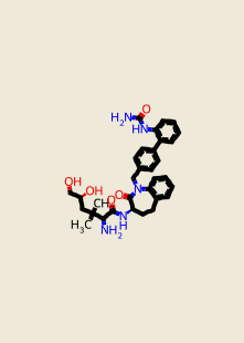 CC(C)(C[C@H](O)CO)C(N)C(=O)N[C@@H]1CCc2ccccc2N(Cc2ccc(-c3ccccc3NC(N)=O)cc2)C1=O